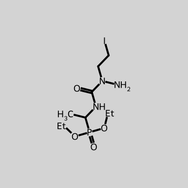 CCOP(=O)(OCC)C(C)NC(=O)N(N)CCI